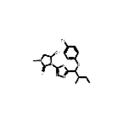 CCC(C)C(Oc1ccc(Br)cc1)c1nnc(N2C(=O)N(C)CC2O)s1